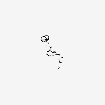 CCOC(=O)CN(C)Cc1cc2c(C(=O)NCC34CC5CC(CC(C5)C3)C4)cccn2n1